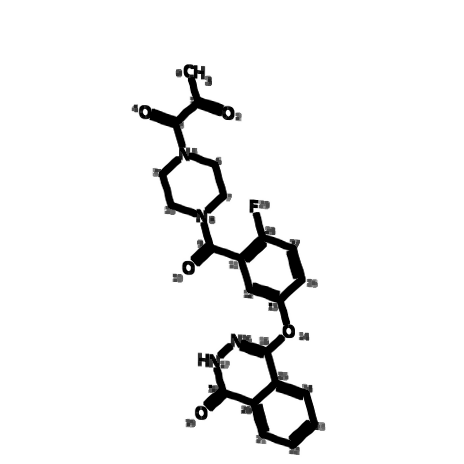 CC(=O)C(=O)N1CCN(C(=O)c2cc(Oc3n[nH]c(=O)c4ccccc34)ccc2F)CC1